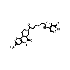 C[C@@H](COCCC(=O)N1CCN2c3nnc(C(F)(F)F)cc3N(C)C(=O)[C@@H]2C1)Nc1cn[nH]c(=O)c1C(F)(F)F